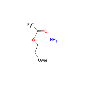 COCCOC(=O)C(F)(F)F.N